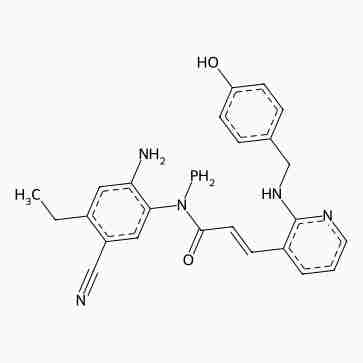 CCc1cc(N)c(N(P)C(=O)/C=C/c2cccnc2NCc2ccc(O)cc2)cc1C#N